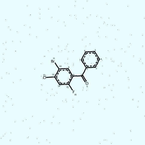 O=C(c1ccccc1)c1cc(Br)c(Cl)cc1F